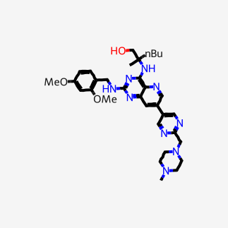 CCCCC(C)(CO)Nc1nc(NCc2ccc(OC)cc2OC)nc2cc(-c3cnc(CN4CCN(C)CC4)nc3)cnc12